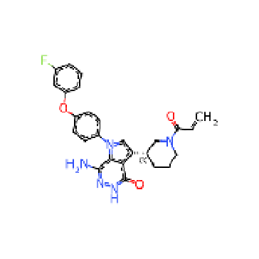 C=CC(=O)N1CCC[C@H](c2cn(-c3ccc(Oc4cccc(F)c4)cc3)c3c(N)n[nH]c(=O)c23)C1